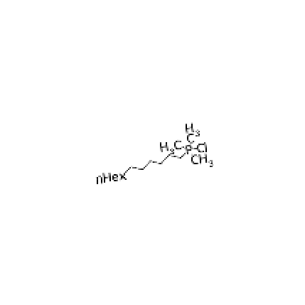 CCCCCCCCCCCCP(C)(C)(C)Cl